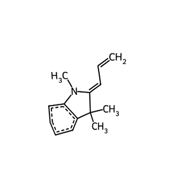 C=C/C=C1\N(C)c2ccccc2C1(C)C